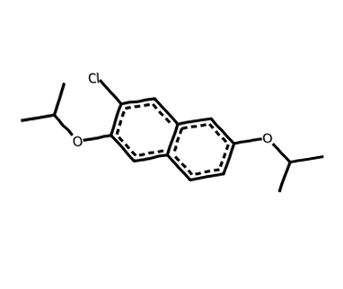 CC(C)Oc1ccc2cc(OC(C)C)c(Cl)cc2c1